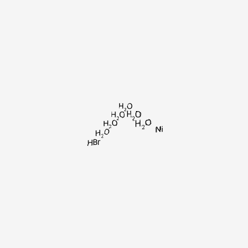 Br.O.O.O.O.O.O.[Ni]